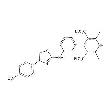 CCOC(=O)C1=C(C)NC(C)=C(C(=O)OCC)C1c1cccc(Nc2nc(-c3ccc([N+](=O)[O-])cc3)cs2)c1